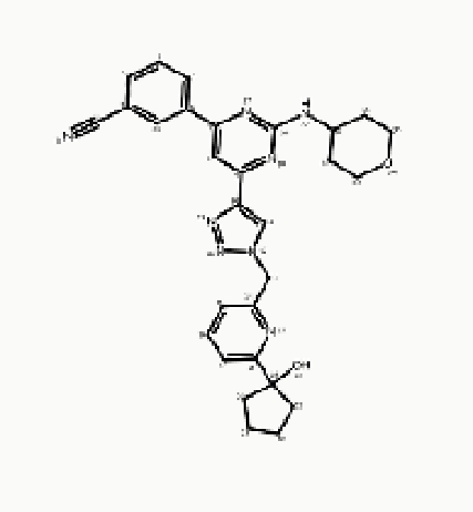 N#Cc1cccc(-c2cc(-c3cn(Cc4cccc(C5(O)CCCC5)n4)nn3)nc(NC3CCOCC3)n2)c1